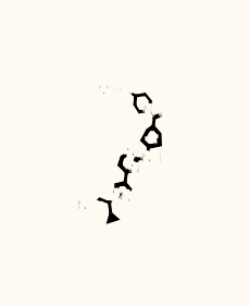 COC1CCN(C(=O)c2ccc(Nc3nccc(-c4cnn(C(CC#N)C5CC5)c4)n3)cc2)CC1